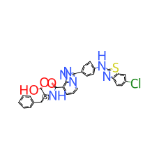 O=C(N[C@@H](Cc1ccccc1)C(=O)O)c1cccn2c(-c3ccc(Nc4nc5ccc(Cl)cc5s4)cc3)nnc12